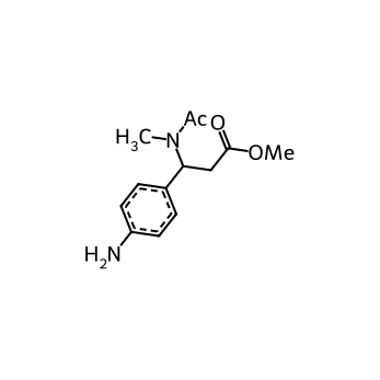 COC(=O)CC(c1ccc(N)cc1)N(C)C(C)=O